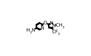 Cn1nc(Oc2ccc(N)cn2)cc1C(F)(F)F